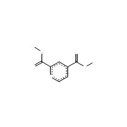 CCNC(=O)c1ccnc(C(=O)NCC)c1